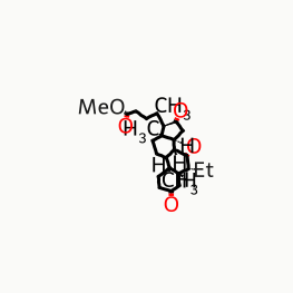 CC[C@H]1C(=O)[C@@H]2[C@H](CC[C@]3(C)[C@@H]([C@H](C)CCC(=O)OC)C(=O)C[C@@H]23)[C@@]2(C)CCC(=O)C[C@@H]12